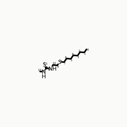 CCCCCCCCSCCNC(=S)NC